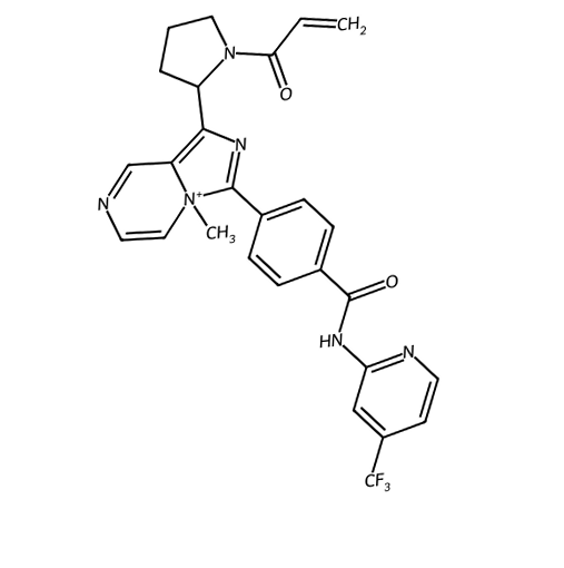 C=CC(=O)N1CCCC1C1=C2C=NC=C[N+]2(C)C(c2ccc(C(=O)Nc3cc(C(F)(F)F)ccn3)cc2)=N1